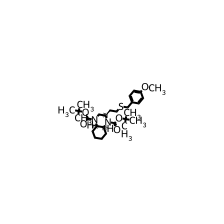 COc1ccc(CSCC[C@@H]2CN(C(=O)OC(C)(C)C)[C@H]3CCCC[C@@H]3N2C(=O)OC(C)(C)C)cc1